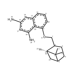 CC1(C)C2CCC(COc3cccc4nc(N)nc(N)c34)[C@@H]1C2